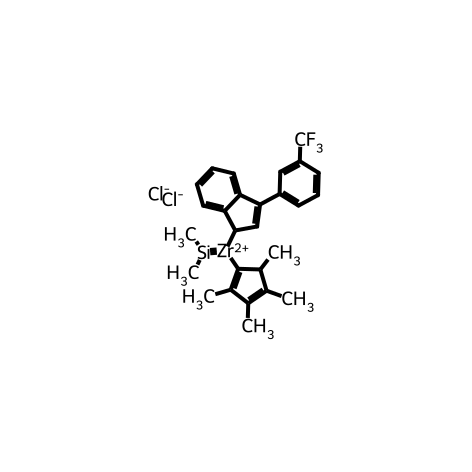 CC1=C(C)C(C)[C]([Zr+2]([CH]2C=C(c3cccc(C(F)(F)F)c3)c3ccccc32)=[Si](C)C)=C1C.[Cl-].[Cl-]